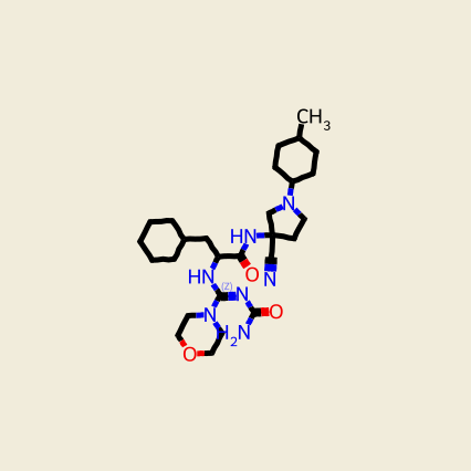 CC1CCC(N2CCC(C#N)(NC(=O)C(CC3CCCCC3)N/C(=N/C(N)=O)N3CCOCC3)C2)CC1